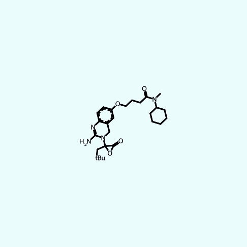 CN(C(=O)CCCOc1ccc2c(c1)CN(C1(CC(C)(C)C)OC1=O)C(N)=N2)C1CCCCC1